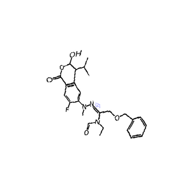 CCN(C=O)/C(COCc1ccccc1)=N\N(C)c1cc2c(cc1F)C(=O)OC(O)C2C(C)C